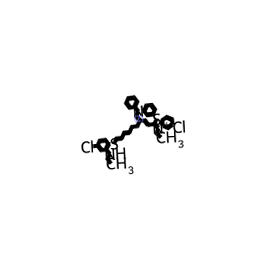 CCNc1cc(Cl)ccc1SC=CC=CCC/C(C=Cc1sc2ccc(Cl)cc2[n+]1CC)=C/N(c1ccccc1)c1ccccc1